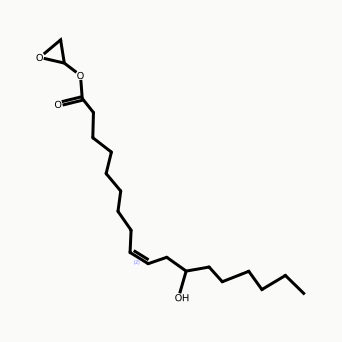 CCCCCCC(O)C/C=C\CCCCCCCC(=O)OC1CO1